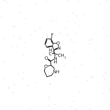 CC(C)(NC(=O)C1CNCCCO1)c1noc2c(F)cccc12